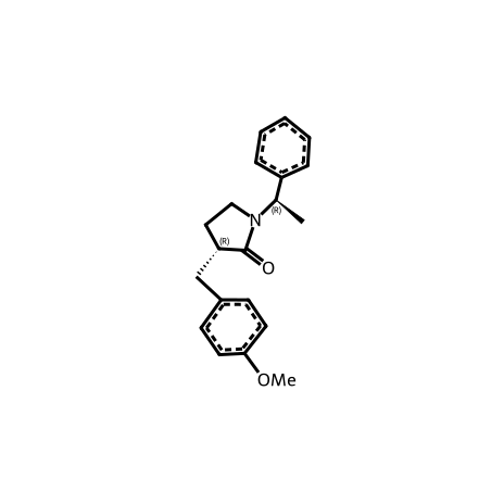 COc1ccc(C[C@@H]2CCN([C@H](C)c3ccccc3)C2=O)cc1